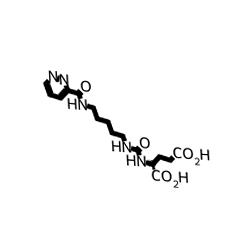 O=C(O)CC[C@H](NC(=O)NCCCCCNC(=O)c1cccnn1)C(=O)O